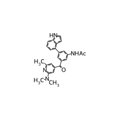 CC(=O)Nc1cc(C(=O)c2cc(C)nc(N(C)C)c2)cc(-c2cccc3[nH]ccc23)c1